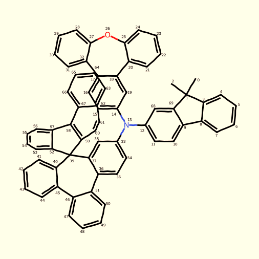 CC1(C)c2ccccc2-c2ccc(N(c3ccc4c(c3)-c3ccccc3Oc3ccccc3-4)c3ccc4c(c3)C3(c5ccccc5-c5ccccc5-4)c4ccccc4-c4c3ccc3ccccc43)cc21